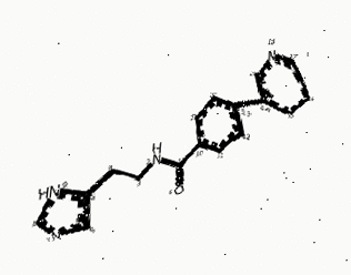 O=C(NCCc1cnc[nH]1)c1ccc(-c2cccnc2)cc1